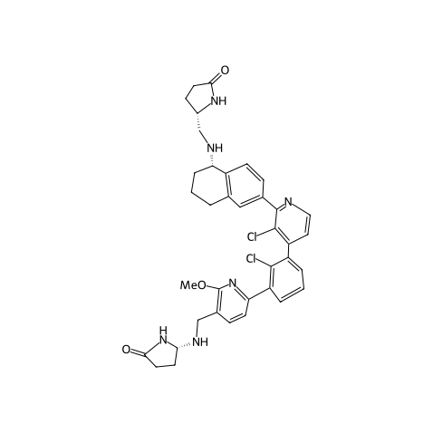 COc1nc(-c2cccc(-c3ccnc(-c4ccc5c(c4)CCC[C@@H]5NC[C@@H]4CCC(=O)N4)c3Cl)c2Cl)ccc1CN[C@@H]1CCC(=O)N1